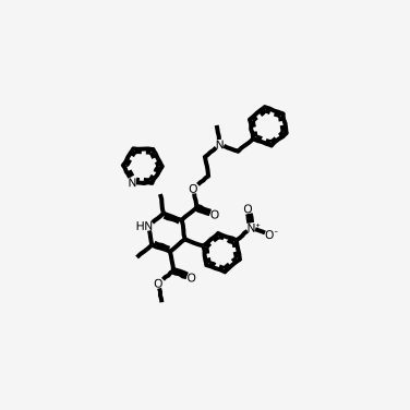 COC(=O)C1=C(C)NC(C)=C(C(=O)OCCN(C)Cc2ccccc2)C1c1cccc([N+](=O)[O-])c1.c1ccncc1